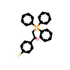 O=C(C[PH](c1ccccc1)(c1ccccc1)c1ccccc1)c1ccc(F)cc1